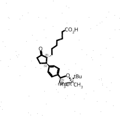 CCCCC[C@H](O[Si](C)(C)C(C)(C)C)c1ccc([C@H]2CCC(=O)[C@@H]2CCCCCCC(=O)O)cc1